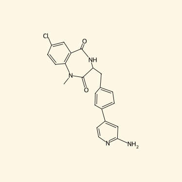 CN1C(=O)C(Cc2ccc(-c3ccnc(N)c3)cc2)NC(=O)c2cc(Cl)ccc21